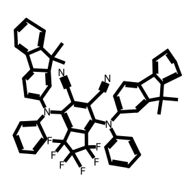 CC1(C)c2ccccc2-c2ccc(N(c3ccccc3)c3c(C#N)c(C#N)c(N(c4ccccc4)c4ccc5c(c4)C(C)(C)c4ccccc4-5)c4c3C(F)(F)C(F)(F)C4(F)F)cc21